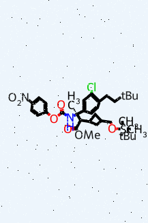 COC(=O)C(C1CC(CO[Si](C)(C)C(C)(C)C)C1)[C@@](C)(NC(=O)Oc1ccc([N+](=O)[O-])cc1)c1ccc(CCC(C)(C)C)c(Cl)c1